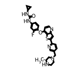 C[C@@H]1CN(Cc2ccc(-c3cc4nccc(Oc5ccc(NC(=O)NC6CC6)cc5F)c4s3)nc2)CCN1